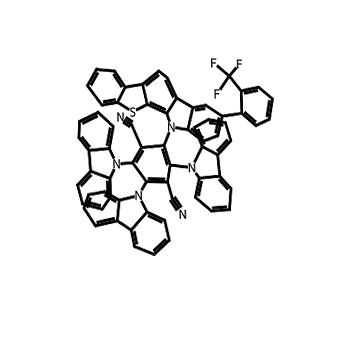 N#Cc1c(-n2c3ccccc3c3ccccc32)c(-n2c3ccccc3c3ccccc32)c(C#N)c(-n2c3ccc(-c4ccccc4C(F)(F)F)cc3c3ccc4c5ccccc5sc4c32)c1-n1c2ccccc2c2ccccc21